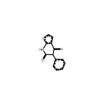 O=C1Nc2sccc2C(=O)C1c1ccccc1